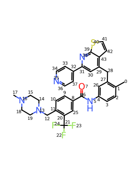 Cc1ccc(NC(=O)c2ccc(CN3CCN(C)CC3)c(C(F)(F)F)c2)cc1Cc1cc(-c2ccncc2)nc2sccc12